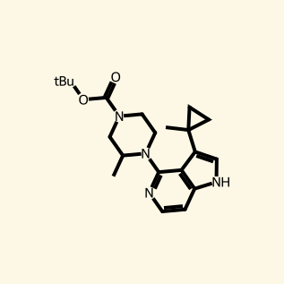 CC1CN(C(=O)OC(C)(C)C)CCN1c1nccc2[nH]cc(C3(C)CC3)c12